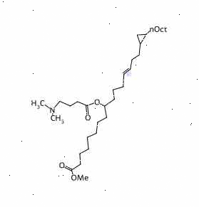 CCCCCCCCC1CC1CC/C=C/CCCC(CCCCCCCC(=O)OC)OC(=O)CCCN(C)C